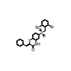 O=C1Nc2cc(S(=O)(=O)Cc3c(Br)cccc3Br)ccc2SC1=Cc1ccccc1